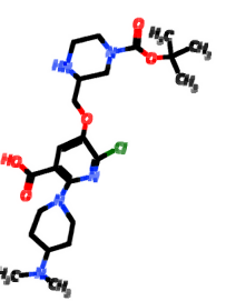 CN(C)C1CCN(c2nc(Cl)c(OCC3CN(C(=O)OC(C)(C)C)CCN3)cc2C(=O)O)CC1